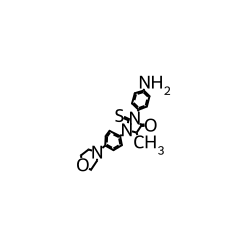 CC1C(=O)N(c2ccc(N)cc2)C(=S)N1c1ccc(N2CCOCC2)cc1